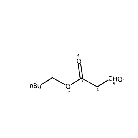 CCCCCOC(=O)C[C]=O